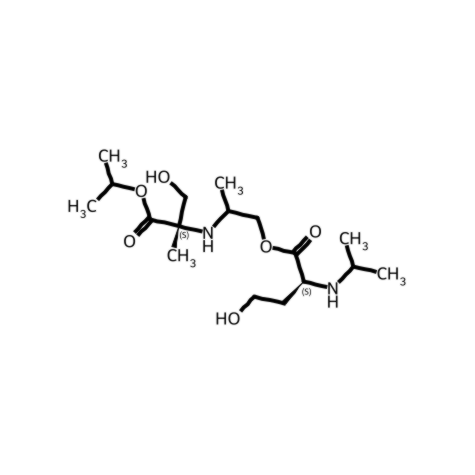 CC(C)N[C@@H](CCO)C(=O)OCC(C)N[C@@](C)(CO)C(=O)OC(C)C